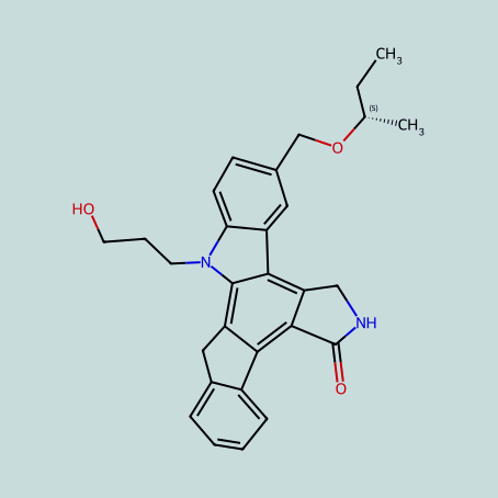 CC[C@H](C)OCc1ccc2c(c1)c1c3c(c4c(c1n2CCCO)Cc1ccccc1-4)C(=O)NC3